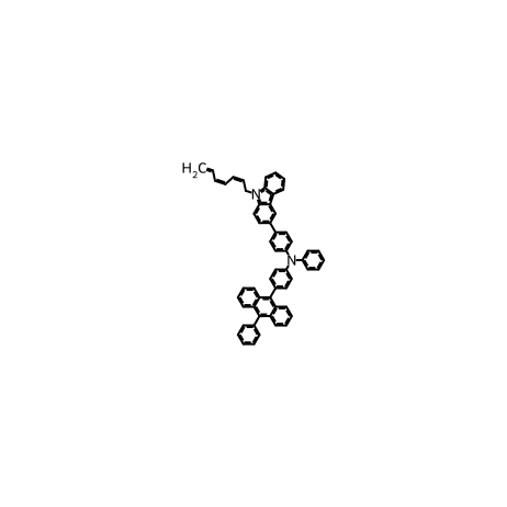 C=C/C=C\C=C/Cn1c2ccccc2c2cc(-c3ccc(N(c4ccccc4)c4ccc(-c5c6ccccc6c(-c6ccccc6)c6ccccc56)cc4)cc3)ccc21